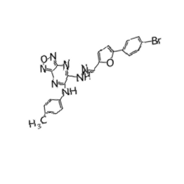 Cc1ccc(Nc2nc3nonc3nc2N/N=C/c2ccc(-c3ccc(Br)cc3)o2)cc1